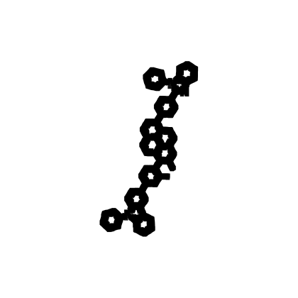 Cc1cc(-c2ccc3c(c2)c2ccccc2n3-c2ccccc2)ccc1-c1c(C)cc2ccc3c(-c4ccc(-c5nc6ccccc6n5-c5ccccc5)cc4)ccc4ccc1c2c43